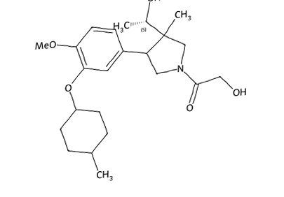 COc1ccc(C2CN(C(=O)CO)CC2(C)[C@H](C)O)cc1OC1CCC(C)CC1